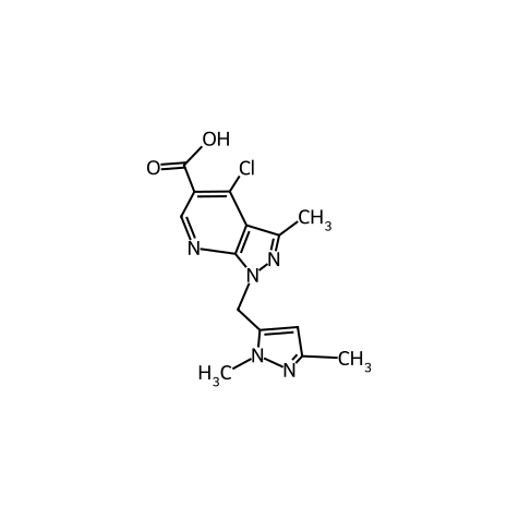 Cc1cc(Cn2nc(C)c3c(Cl)c(C(=O)O)cnc32)n(C)n1